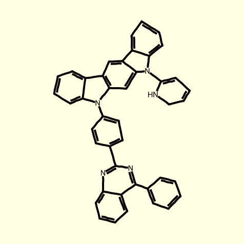 C1=CCNC(n2c3ccccc3c3cc4c5ccccc5n(-c5ccc(-c6nc(-c7ccccc7)c7ccccc7n6)cc5)c4cc32)=C1